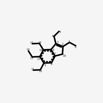 CCC1=C(CC)c2c(cc(CC)c(CC)c2CC)[CH]1